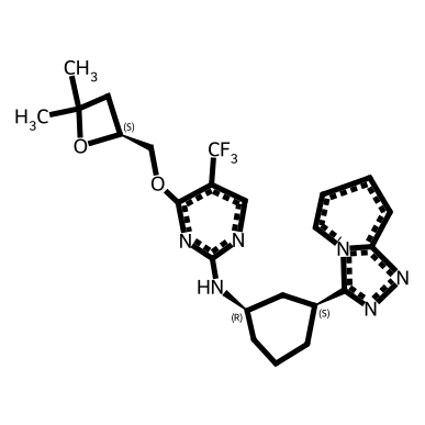 CC1(C)C[C@@H](COc2nc(N[C@@H]3CCC[C@H](c4nnc5ccccn45)C3)ncc2C(F)(F)F)O1